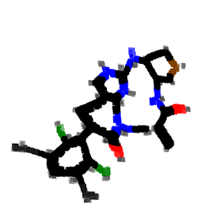 C=CC(=O)NC1CSCC1Nc1ncc2cc(-c3c(Cl)c(OC)cc(OC)c3Cl)c(=O)n(C)c2n1